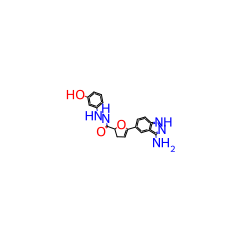 Nc1n[nH]c2ccc(C3=CCC(C(=O)NNc4cccc(O)c4)O3)cc12